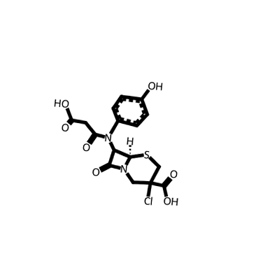 O=C(O)CC(=O)N(c1ccc(O)cc1)C1C(=O)N2CC(Cl)(C(=O)O)CS[C@H]12